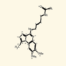 CCC(C)C(=O)NCCCCNc1nc2cc(OC)c(OC)cc2n2c(C)nnc12